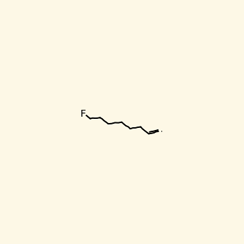 [CH]=CCCCCCCF